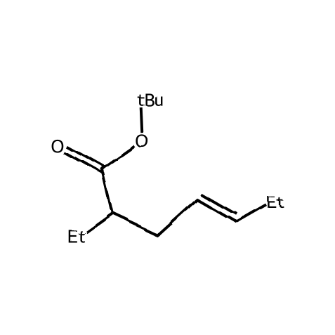 CCC=CCC(CC)C(=O)OC(C)(C)C